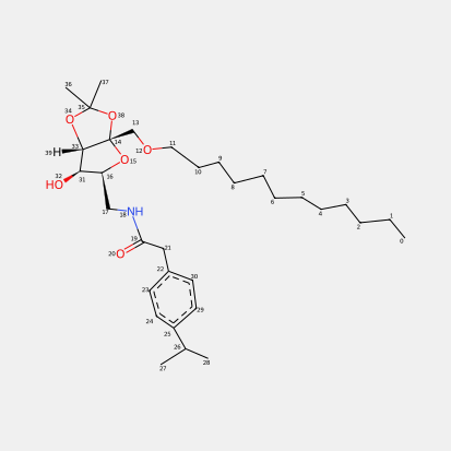 CCCCCCCCCCCCOC[C@@]12O[C@@H](CNC(=O)Cc3ccc(C(C)C)cc3)[C@@H](O)[C@@H]1OC(C)(C)O2